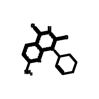 Nc1ccc2c(=O)[nH]c(=O)n(C3C=CCCC3)c2n1